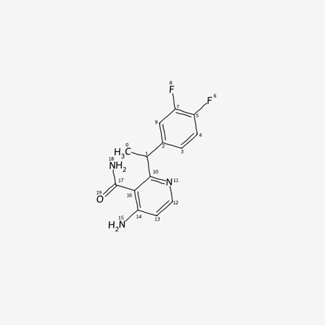 CC(c1ccc(F)c(F)c1)c1nccc(N)c1C(N)=O